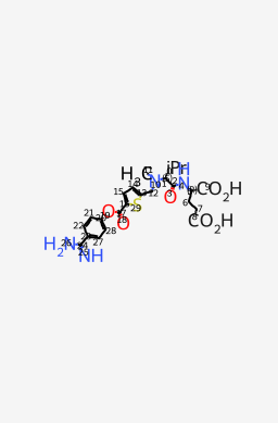 CC(C)[C@@H](C(=O)N[C@H](CCC(=O)O)C(=O)O)N(C)Cc1ccc(C(=O)Oc2ccc(C(=N)N)cc2)s1